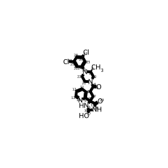 C[C@H]1CN(C(=O)CCC2(c3ccccn3)NC(O)NC2=O)CCN1c1cc(Cl)cc(Cl)c1